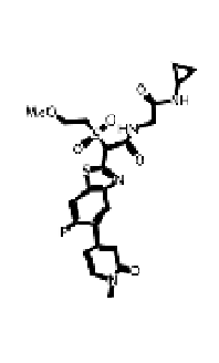 COCCS(=O)(=O)C(C(=O)NCC(=O)NC1CC1)c1nc2cc(-c3ccn(C)c(=O)c3)c(F)cc2s1